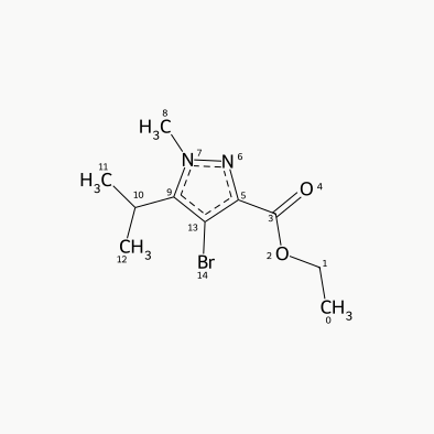 CCOC(=O)c1nn(C)c(C(C)C)c1Br